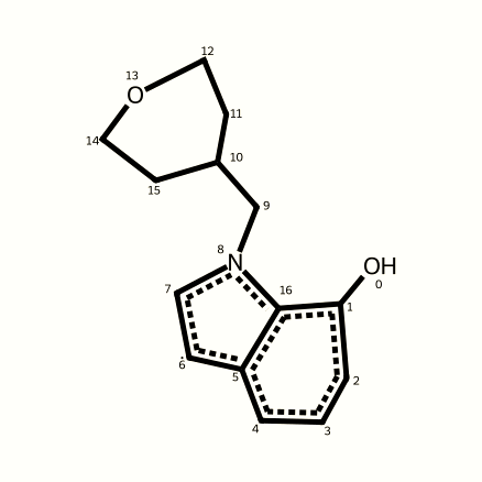 Oc1cccc2[c]cn(CC3CCOCC3)c12